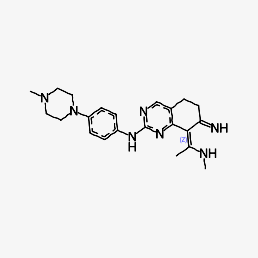 CN/C(C)=C1\C(=N)CCc2cnc(Nc3ccc(N4CCN(C)CC4)cc3)nc21